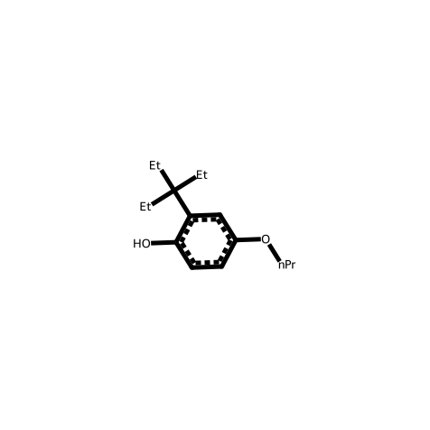 CCCOc1ccc(O)c(C(CC)(CC)CC)c1